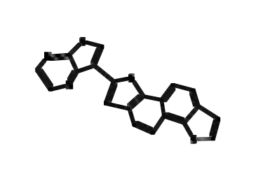 c1cnc2c(-c3cc4ccc5c(ccc6ccsc65)c4s3)csc2n1